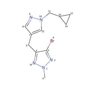 Cn1nc(Br)c(Cc2cnn(CC3CC3)c2)n1